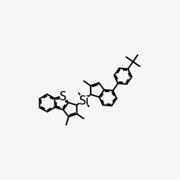 CC1=Cc2c(-c3ccc(C(C)(C)C)cc3)cccc2C1[Si](C)(C)C1C(C)=C(C)c2c1sc1ccccc21